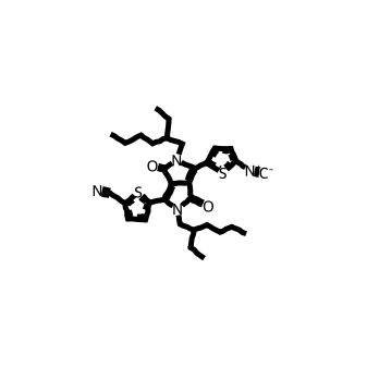 [C-]#[N+]c1ccc(C2=C3C(=O)N(CC(CC)CCCC)C(c4ccc(C#N)s4)=C3C(=O)N2CC(CC)CCCC)s1